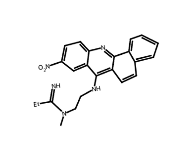 CCC(=N)N(C)CCNc1c2cc([N+](=O)[O-])ccc2nc2c1ccc1ccccc12